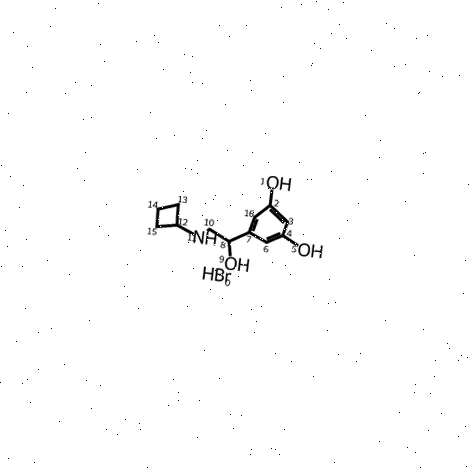 Br.Oc1cc(O)cc(C(O)CNC2CCC2)c1